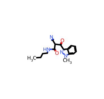 CCCCNC(=O)C(C#N)C(=O)c1nn(C)c2ccccc12